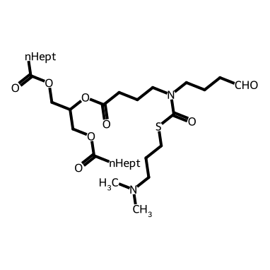 CCCCCCCC(=O)OCC(COC(=O)CCCCCCC)OC(=O)CCCN(CCCC=O)C(=O)SCCCN(C)C